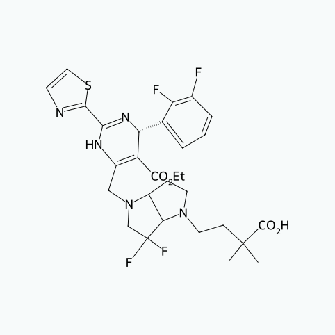 CCOC(=O)C1=C(CN2CC(F)(F)C3C2CCN3CCC(C)(C)C(=O)O)NC(c2nccs2)=N[C@@H]1c1cccc(F)c1F